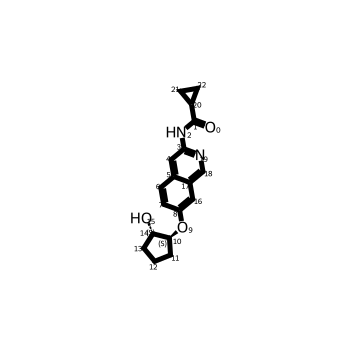 O=C(Nc1cc2ccc(O[C@H]3CCC[C@@H]3O)cc2cn1)C1CC1